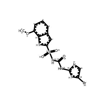 COc1cccc2cc(S(=O)(=O)NC(=O)Nc3ncc(Br)s3)sc12